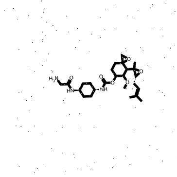 COC1C(OC(=O)N[C@H]2CC[C@H](NC(=O)CN)CC2)CCC2(CO2)C1C1(C)O[C@@H]1CC=C(C)C